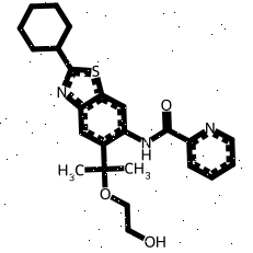 CC(C)(OCCO)c1cc2nc(C3CCCCC3)sc2cc1NC(=O)c1ccccn1